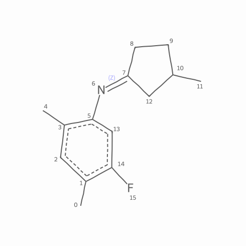 Cc1cc(C)c(/N=C2/CCC(C)C2)cc1F